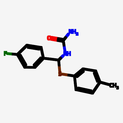 Cc1ccc(SC(NC(N)=O)c2ccc(F)cc2)cc1